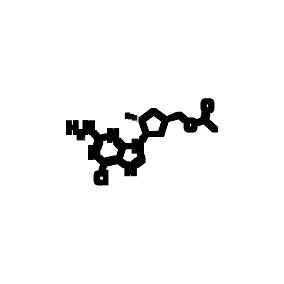 CC(=O)OC[C@@H]1C[C@@H](C)[C@H](n2cnc3c(Cl)nc(N)nc32)C1